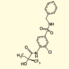 C[C@@](O)(C(=O)Nc1ccc(S(=O)(=O)NCc2ccccc2)cc1Cl)C(F)(F)F